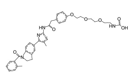 Cc1ccccc1C(=O)N1CCc2cc(-c3nc(NC(=O)Cc4ccc(OCCOCCOCCNC(=O)O)cc4)sc3C)ccc21